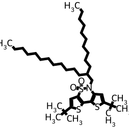 CCCCCCCCCCCCC(CCCCCCCCCC)CN1c2cc(C(C)(C)C)sc2-c2sc(C(C)(C)C)cc2S1(=O)=O